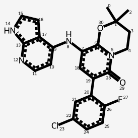 CC1(C)CCn2c(c(Nc3ccnc4[nH]ccc34)cc(-c3cc(Cl)ccc3F)c2=O)O1